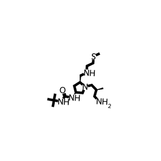 CSCCNC[C@@H]1C[C@@H](NC(=O)NC(C)(C)C)CN1C[C@@H](C)CN